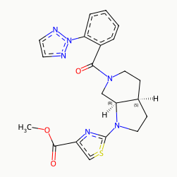 COC(=O)c1csc(N2CC[C@@H]3CCN(C(=O)c4ccccc4-n4nccn4)C[C@@H]32)n1